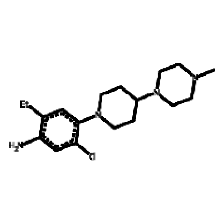 CCc1cc(N2CCC(N3CCN(C)CC3)CC2)c(Cl)cc1N